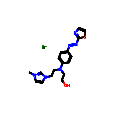 C[n+]1ccn(CCN(CCO)c2ccc(N=Nc3nccs3)cc2)c1.[Br-]